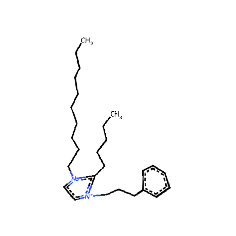 CCCCCCCCCCn1cc[n+](CCCc2ccccc2)c1CCCCC